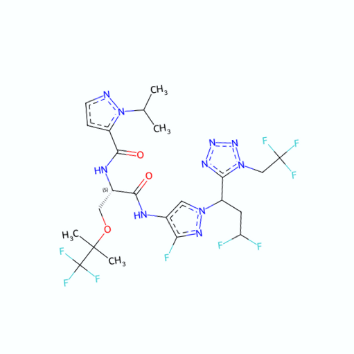 CC(C)n1nccc1C(=O)N[C@@H](COC(C)(C)C(F)(F)F)C(=O)Nc1cn(C(CC(F)F)c2nnnn2CC(F)(F)F)nc1F